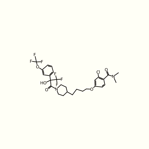 CN(C)C(=O)c1ccc(OCCCCC2CCN(C(=O)C(O)(c3cccc(OC(F)(F)F)c3)C(F)(F)F)CC2)cc1Cl